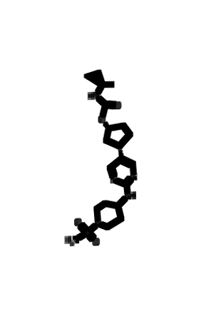 CC1(NC(=O)O[C@@H]2CC[C@H](c3cnc(NC4CCN(S(N)(=O)=O)CC4)nc3)C2)CC1